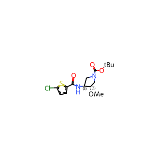 CO[C@H]1CN(C(=O)OC(C)(C)C)C[C@@H]1NC(=O)c1ccc(Cl)s1